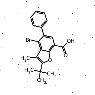 Cc1c(C(C)(C)C)oc2c(C(=O)O)cc(-c3ccccc3)c(Br)c12